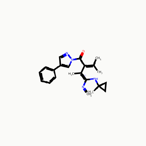 C=N/C(NC1(C)CC1)=C(\C)C(C(=O)n1cc(-c2ccccc2)cn1)=C(C)C